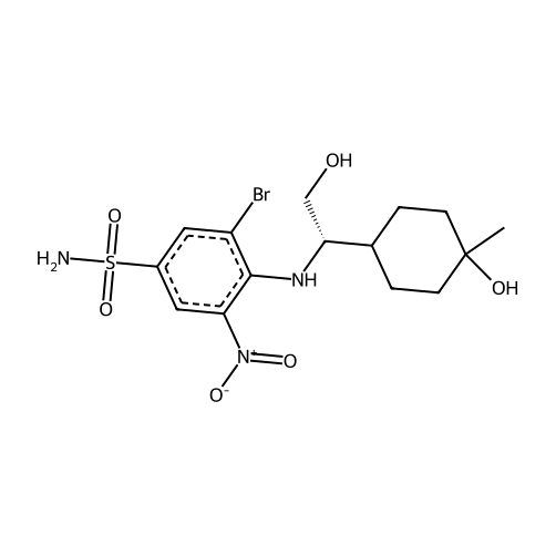 CC1(O)CCC([C@@H](CO)Nc2c(Br)cc(S(N)(=O)=O)cc2[N+](=O)[O-])CC1